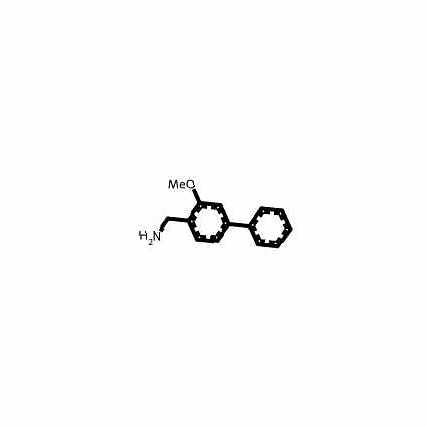 COc1cc(-c2ccccc2)ccc1CN